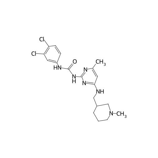 Cc1cc(NCC2CCCN(C)C2)nc(NC(=O)Nc2ccc(Cl)c(Cl)c2)n1